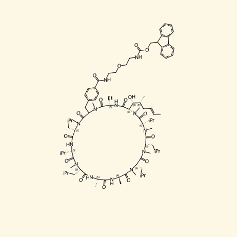 CC=CC[C@@H](C)[C@@H](O)[C@H]1C(=O)N[C@@H](CC)C(=O)N(C)C(Cc2ccc(C(=O)NCCOCCNC(=O)OCC3c4ccccc4-c4ccccc43)cc2)C(=O)N(C)[C@@H](CC(C)C)C(=O)N[C@@H](C(C)C)C(=O)N(C)[C@@H](CC(C)C)C(=O)N[C@@H](C)C(=O)N[C@H](C)C(=O)N(C)[C@@H](CC(C)C)C(=O)N(C)[C@@H](CC(C)C)C(=O)N(C)[C@@H](C(C)C)C(=O)N1C